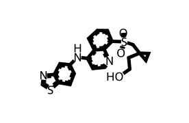 O=S(=O)(CC1(CCO)CC1)c1cccc2c(Nc3ccc4scnc4c3)ccnc12